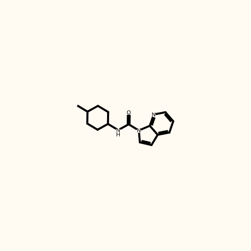 CC1CCC(NC(=O)n2ccc3cccnc32)CC1